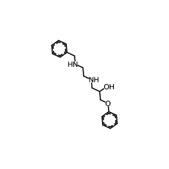 OC(CNCCNCc1ccccc1)COc1ccccc1